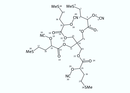 CSCCC(OC#N)C(=O)OCC(COC(=O)C(CCSC)OC#N)(COC(=O)C(CCSC)OC#N)COC(=O)C(CCSC)OC#N